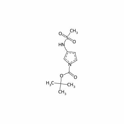 CC(C)(C)OC(=O)n1ccc(NS(C)(=O)=O)c1